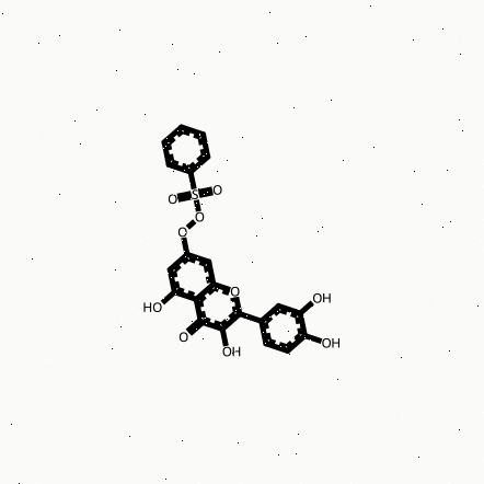 O=c1c(O)c(-c2ccc(O)c(O)c2)oc2cc(OOS(=O)(=O)c3ccccc3)cc(O)c12